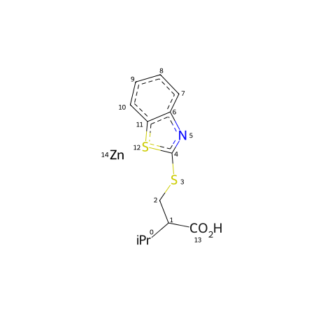 CC(C)C(CSc1nc2ccccc2s1)C(=O)O.[Zn]